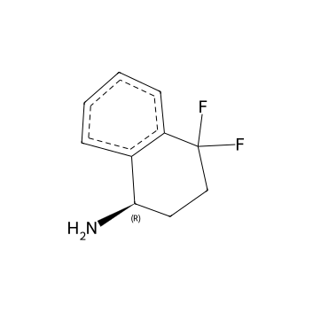 N[C@@H]1CCC(F)(F)c2ccccc21